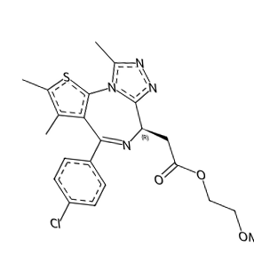 COCCOC(=O)C[C@H]1N=C(c2ccc(Cl)cc2)c2c(sc(C)c2C)-n2c(C)nnc21